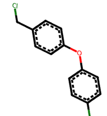 ClCc1ccc(Oc2ccc(Cl)cc2)cc1